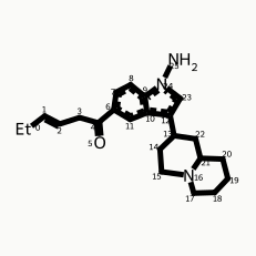 CCC=CCC(=O)c1ccc2c(c1)c(C1CCN3CCCCC3C1)cn2N